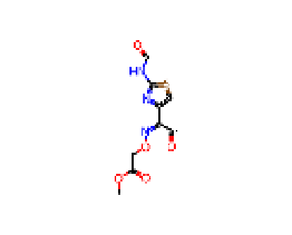 COC(=O)CO/N=C(\[C]=O)c1csc(NC=O)n1